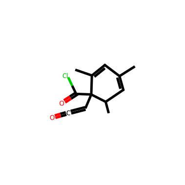 CC1=CC(C)C(C=C=O)(C(=O)Cl)C(C)=C1